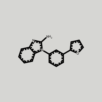 Nc1nc2ccccc2n1-c1cccc(-c2ccco2)c1